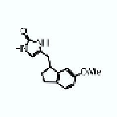 COc1ccc2c(c1)C(Cc1c[nH]c(=O)[nH]1)CC2